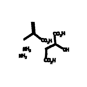 C=C(C)C(=O)O.N.N.O=C(O)CC(O)C(=O)O